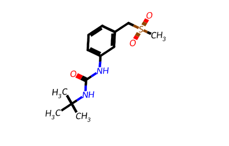 CC(C)(C)NC(=O)Nc1cccc(CS(C)(=O)=O)c1